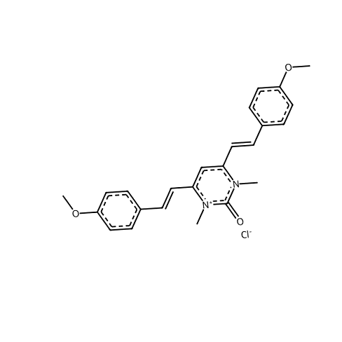 COc1ccc(/C=C/c2cc(/C=C/c3ccc(OC)cc3)[n+](C)c(=O)n2C)cc1.[Cl-]